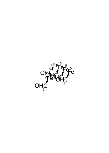 O=[CH][Fe].O=[CH][Fe].O=[CH][Fe].O=[CH][Fe].O=[CH][Fe]